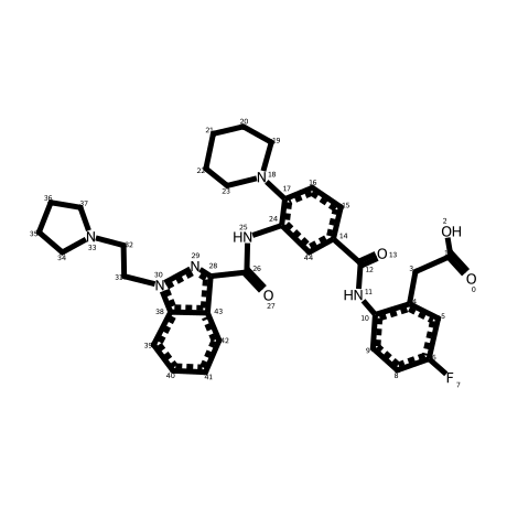 O=C(O)Cc1cc(F)ccc1NC(=O)c1ccc(N2CCCCC2)c(NC(=O)c2nn(CCN3CCCC3)c3ccccc23)c1